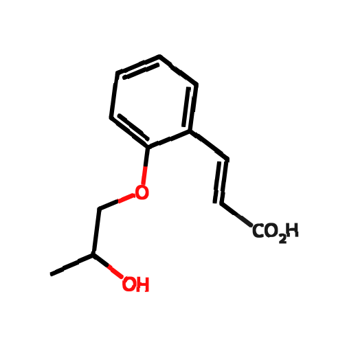 CC(O)COc1ccccc1/C=C/C(=O)O